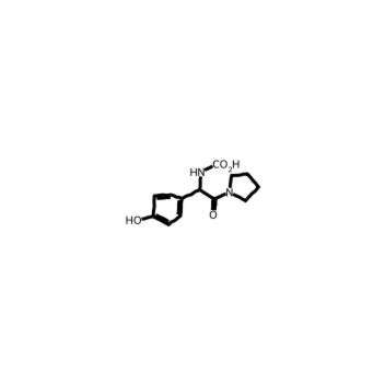 O=C(O)NC(C(=O)N1CCCC1)c1ccc(O)cc1